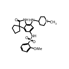 COc1ccccc1S(=O)(=O)Nc1cc(NC2CCN(C)CC2)c2c(c1)C1(CCCC1)C(=O)N2